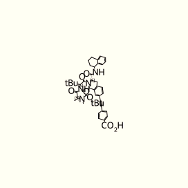 C[C@@H](C(=O)N[C@H](C(=O)N1Cc2cc(C#Cc3ccc(C(=O)O)cc3)ccc2C[C@H]1C(=O)NC1CCCc2ccccc21)C(C)(C)C)N(C)C(=O)OC(C)(C)C